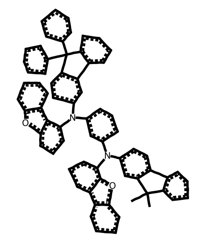 CC1(C)c2ccccc2-c2ccc(N(c3cccc(N(c4ccc5c(c4)-c4ccccc4C5(c4ccccc4)c4ccccc4)c4cccc5oc6ccccc6c45)c3)c3cccc4c3oc3ccccc34)cc21